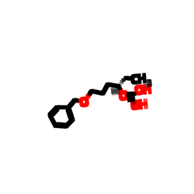 CC[C@@H](CCCOCc1ccccc1)OB(O)O